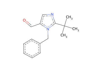 CC(C)(C)c1ncc(C=O)n1Cc1ccccc1